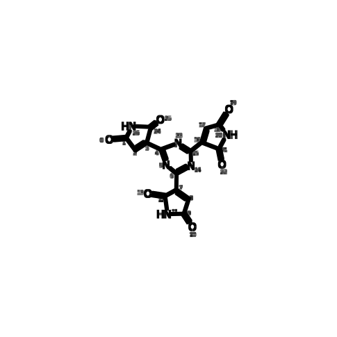 O=C1C=C(c2nc(C3=CC(=O)NC3=O)nc(C3=CC(=O)NC3=O)n2)C(=O)N1